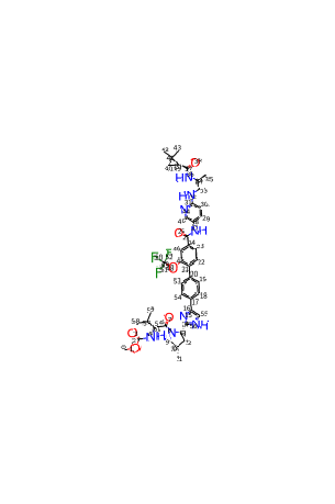 COC(=O)N[C@H](C(=O)N1C[C@@H](C)C[C@H]1c1nc(-c2ccc(-c3ccc(C(=O)Nc4ccc(NC[C@H](C)NC(=O)[C@H]5CC5(C)C)nc4)cc3OC(F)(F)F)cc2)c[nH]1)C(C)C